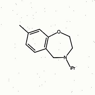 Cc1ccc2c(c1)OCCN(C(C)C)C2